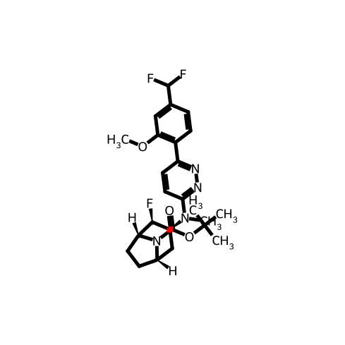 COc1cc(C(F)F)ccc1-c1ccc(N(C)[C@H]2C[C@@H]3CC[C@H]([C@H]2F)N3C(=O)OC(C)(C)C)nn1